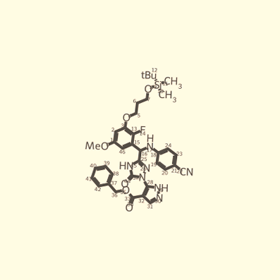 COc1cc(OCCCO[Si](C)(C)C(C)(C)C)c(F)c(C(Nc2ccc(C#N)cc2)c2nn(-c3[nH]ncc3C(=O)OCc3ccccc3)c(=O)[nH]2)c1